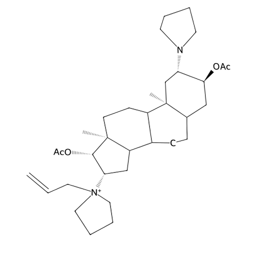 C=CC[N+]1([C@H]2CC3C4CCC5C[C@H](OC(C)=O)[C@@H](N6CCCC6)C[C@]5(C)C4CC[C@]3(C)[C@H]2OC(C)=O)CCCC1